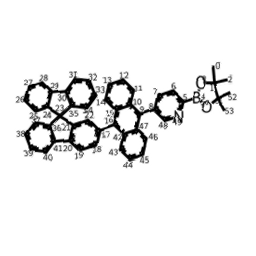 CC1(C)OB(c2ccc(-c3c4ccccc4c(-c4ccc5c(c4)C4(c6ccccc6-c6ccccc64)c4ccccc4-5)c4ccccc34)cn2)OC1(C)C